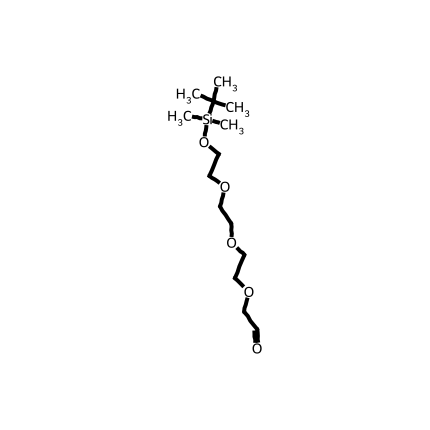 CC(C)(C)[Si](C)(C)OCCOCCOCCOCC=O